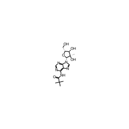 CC(C)(C)C(=O)Nc1ncnc2c1ncn2[C@@H]1O[C@H](CO)[C@@H](O)[C@@]1(C)O